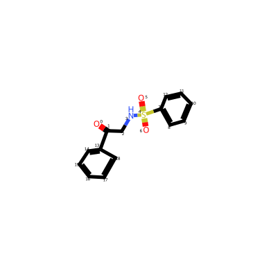 O=C(CNS(=O)(=O)c1ccccc1)c1ccccc1